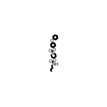 CCCCNC(=O)OC1CCN(C(=O)Oc2ccc(Oc3ccccc3)cc2)CC1